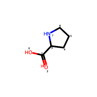 OC(=[18O])C1CCCN1